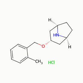 Cc1ccccc1CO[C@@H]1C[C@H]2CC[C@@H](C1)N2.Cl